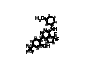 CN1CCC[C@@H](Nc2nnc(-c3ccc(C(F)(F)F)cc3O)c3c2C(F)(F)CC3)C1